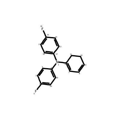 Fc1ccc(N(C2=CC=CCC2)c2ccc(F)cc2)cc1